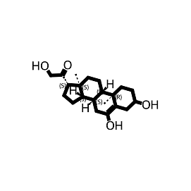 C[C@]12CC[C@H]3[C@@H](CC(O)=C4CC(O)CC[C@@]43C)[C@@H]1CC[C@@H]2C(=O)CO